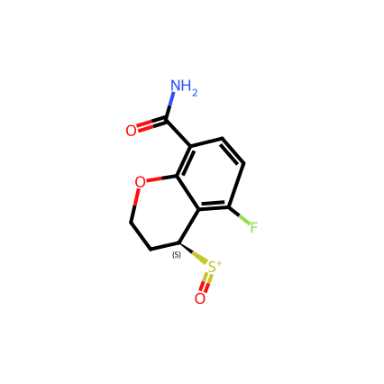 NC(=O)c1ccc(F)c2c1OCC[C@@H]2[S+]=O